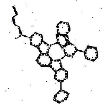 C=C/C=C\C=C(/C)c1ccc2c(c1)c1ccc3c4cc(-c5ccccc5)ccc4n(-c4nc(-c5ccccc5)nc(-c5ccccc5)n4)c3c1n2-c1ccccc1